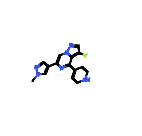 Cn1cc(-c2cn3ncc(F)c3c(C3=CCNCC3)n2)cn1